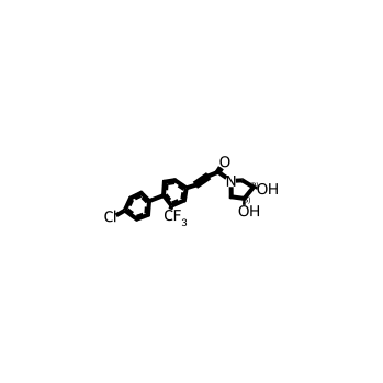 O=C(C#Cc1ccc(-c2ccc(Cl)cc2)c(C(F)(F)F)c1)N1C[C@@H](O)[C@@H](O)C1